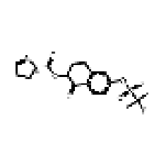 O=C1c2ccc(OS(=O)(=O)C(F)(F)F)cc2CCC1OC(=O)[C@@H]1CCC=N1